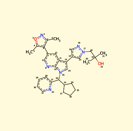 Cc1noc(C)c1-c1cnc2c(c1)c(-c1cnn(CC(C)(C)O)c1)cn2C(c1ccccn1)C1CCCC1